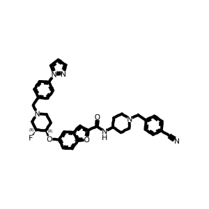 N#Cc1ccc(CN2CCC(NC(=O)c3cc4cc(O[C@@H]5CCN(Cc6ccc(-n7cccn7)cc6)C[C@H]5F)ccc4o3)CC2)cc1